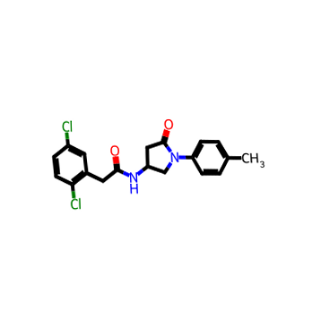 Cc1ccc(N2CC(NC(=O)Cc3cc(Cl)ccc3Cl)CC2=O)cc1